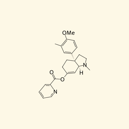 COc1ccc([C@@]23CCC(OC(=O)c4ccccn4)=C[C@@H]2N(C)CC3)cc1C